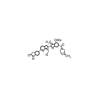 COc1cc(C(=O)N2CC3CC(C2)[C@@H](C)C3)cc2nc(-c3cc4ccc(-c5ccc6c(c5)CC(=O)N6)nc4n3CC3CC3)n(C)c12